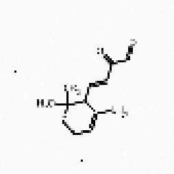 CC1=CCCC(C)(C)C1/C=C/C(=O)C=O